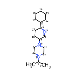 CC(C)N1CCN(C2C=NC(C3CCCCC3)CC2)CC1